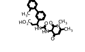 CC1=CC(=O)C(NC(=O)NC(CC(=O)O)c2cccc(-c3ccccc3C)c2)C(=O)N1C